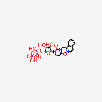 O=c1ccn([C@@H]2O[C@H](COP(=O)(O)OP(=O)(O)O)C(O)[C@@H]2O)c(=O)n1Cc1nccc2ccccc12